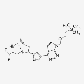 C[Si](C)(C)CCOCn1ccc2c(-c3cnn(C(CC#N)CN4CCNC(C(F)F)C4)c3)ncnc21